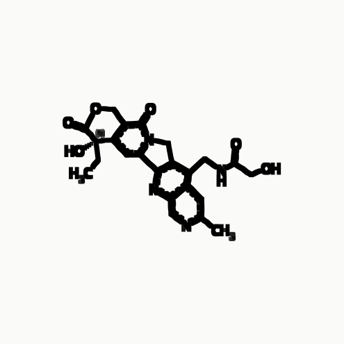 CC[C@@]1(O)C(=O)OCc2c1cc1n(c2=O)Cc2c-1nc1cnc(C)cc1c2CNC(=O)CO